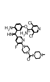 CN1CCN(C(=O)N2CCN(c3ncc(C(=N)c4cc(O[C@H](N)c5c(Cl)cncc5Cl)ccc4N)cc3F)CC2)CC1